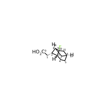 O=C(O)C[C@H]1[C@H]2CC[C@H]3C[C@@H]1[C@@]2(F)C3